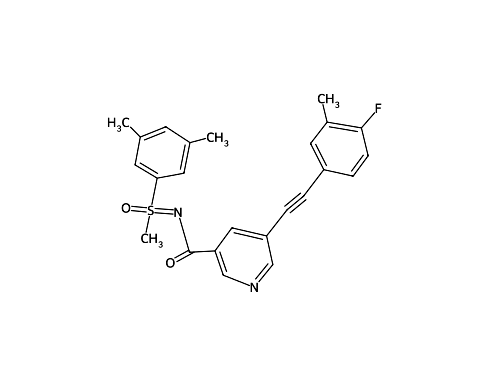 Cc1cc(C)cc(S(C)(=O)=NC(=O)c2cncc(C#Cc3ccc(F)c(C)c3)c2)c1